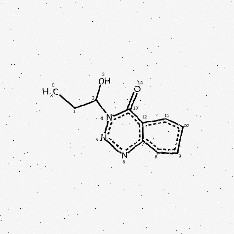 CCC(O)n1nnc2ccccc2c1=O